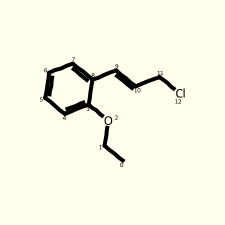 CCOc1ccccc1C=CCCl